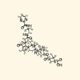 CC(C)C1=C2[C@H]3CC[C@@H]4[C@@]5(C)CC[C@H](OC(=O)[C@H]6C[C@@H](C(=O)O)C6(C)C)C(C)(C)[C@@H]5CC[C@@]4(C)[C@]3(C)CC[C@@]2(CC(=O)NCC(C)(C)NC(=O)c2ncccn2)CC1=O